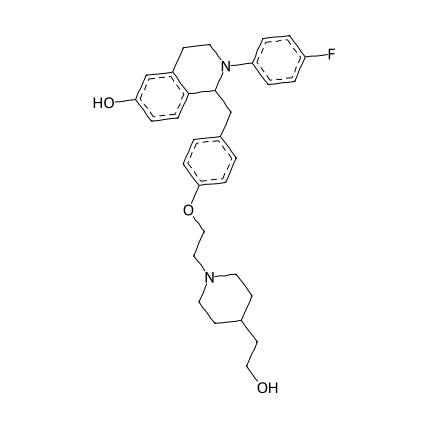 OCCC1CCN(CCOc2ccc(CC3c4ccc(O)cc4CCN3c3ccc(F)cc3)cc2)CC1